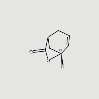 O=C1O[C@H]2C=CCC1C2